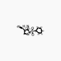 N#Cc1cnn(S(=O)(=O)c2ccccc2)c1N